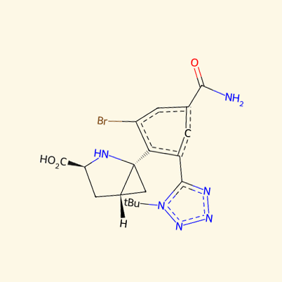 CC(C)(C)n1nnnc1-c1cc(C(N)=O)cc(Br)c1[C@]12C[C@@H]1C[C@@H](C(=O)O)N2